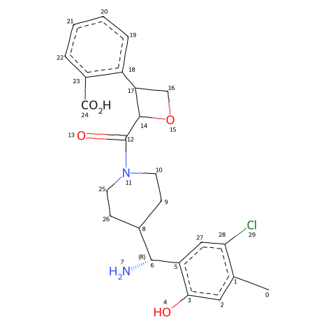 Cc1cc(O)c([C@H](N)C2CCN(C(=O)C3OCC3c3ccccc3C(=O)O)CC2)cc1Cl